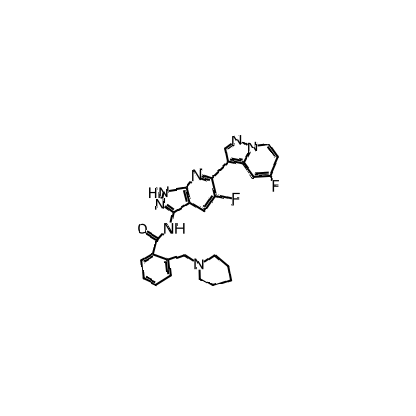 O=C(Nc1n[nH]c2nc(-c3cnn4ccc(F)cc34)c(F)cc12)c1ccccc1CN1CCCCC1